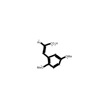 COc1ccc(OC)c(C=C(C(C)=O)C(=O)O)c1